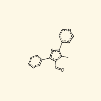 Cc1c(-c2ccncc2)sc(-c2ccncc2)c1C=O